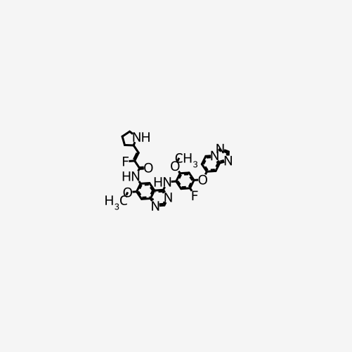 COc1cc2ncnc(Nc3cc(F)c(Oc4ccn5ncnc5c4)cc3OC)c2cc1NC(=O)C(F)=CC1CCCN1